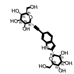 OC[C@H]1O[C@H](c2cc3ccc(C#C[C@H]4O[C@H](CO)[C@@H](O)[C@H](O)[C@@H]4O)cc3[nH]2)[C@@H](O)[C@@H](O)[C@@H]1O